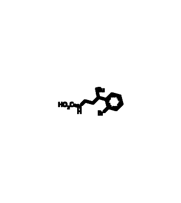 CC(C)(C)C(CCNC(=O)O)c1ccccc1Br